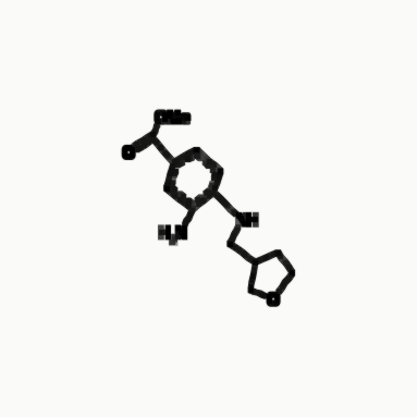 COC(=O)c1ccc(NCC2CCOC2)c(N)c1